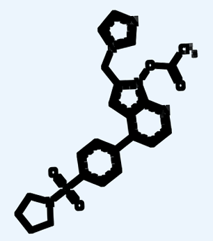 O=C(On1c(Cn2ccnc2)cc2c(-c3ccc(S(=O)(=O)N4CCCC4)cc3)ccnc21)C(F)(F)F